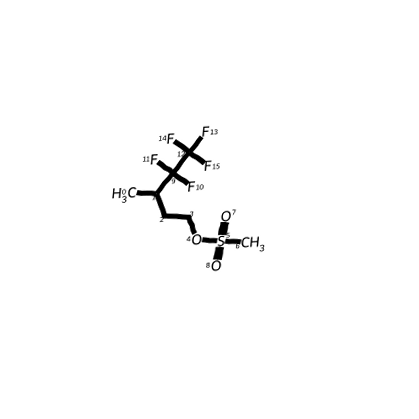 CC(CCOS(C)(=O)=O)C(F)(F)C(F)(F)F